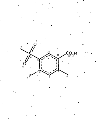 Cc1cc(F)c(S(C)(=O)=O)cc1C(=O)O